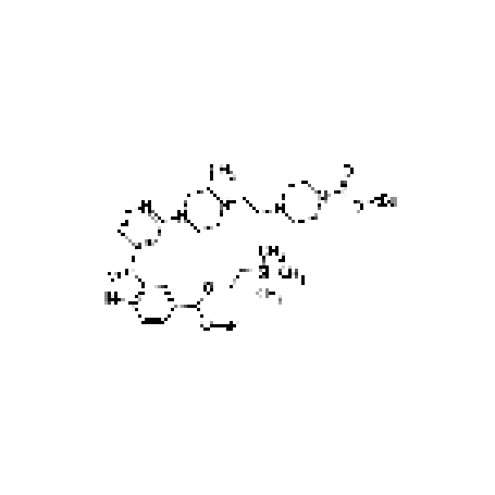 CC(C)OC(OCC[Si](C)(C)C)c1ccc2[nH]nc(-c3cc(N4CCN(CCN5CCN(C(=O)OC(C)(C)C)CC5)[C@@H](C)C4)ncn3)c2c1